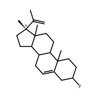 C=C(C)[C@@]1(C)CCC2C3CC=C4CC(F)CCC4(C)C3CCC21C